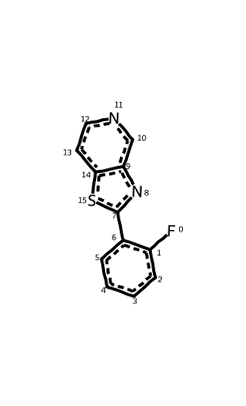 Fc1ccccc1-c1nc2cnccc2s1